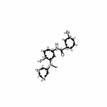 CN(c1cncnc1)c1cc(NC(=O)c2cccc(Br)c2)ccc1F